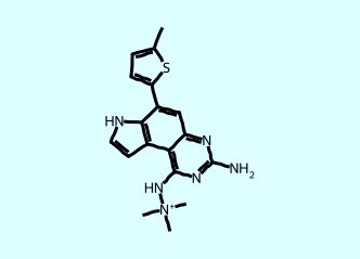 Cc1ccc(-c2cc3nc(N)nc(N[N+](C)(C)C)c3c3cc[nH]c23)s1